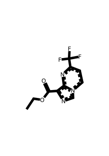 CCOC(=O)c1ncn2ccc(C(F)(F)F)nc12